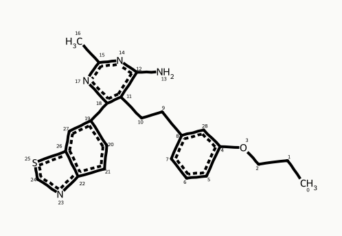 CCCOc1cccc(CCc2c(N)nc(C)nc2-c2ccc3ncsc3c2)c1